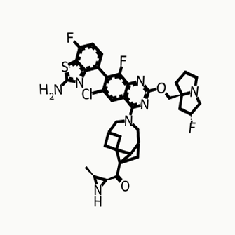 C[C@@H]1N[C@@H]1C(=O)C12CC3CN(c4nc(OC[C@@]56CCCN5C[C@H](F)C6)nc5c(F)c(-c6ccc(F)c7sc(N)nc67)c(Cl)cc45)CC4CC1(C4)C32